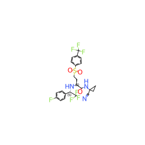 N#CC1(NC(=O)[C@H](CCS(=O)(=O)c2ccc(C(F)(F)F)cc2)N[C@@H](c2ccc(F)cc2)C(F)(F)F)CC1